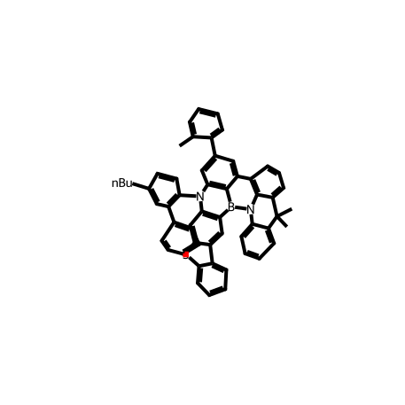 CCCCc1ccc(N2c3cc4sc5ccccc5c4cc3B3c4c(cc(-c5ccccc5C)cc42)-c2cccc4c2N3c2ccccc2C4(C)C)c(-c2ccccc2)c1